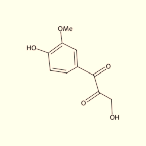 COc1cc(C(=O)C(=O)CO)ccc1O